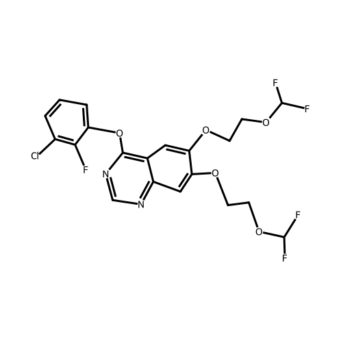 Fc1c(Cl)cccc1Oc1ncnc2cc(OCCOC(F)F)c(OCCOC(F)F)cc12